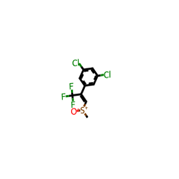 C[S+]([O-])C=C(c1cc(Cl)cc(Cl)c1)C(F)(F)F